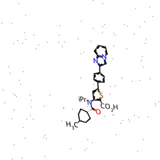 CC(C)N(c1cc(-c2ccc(-c3cn4ccccc4n3)cc2)sc1C(=O)O)C(=O)[C@H]1CC[C@H](C)CC1